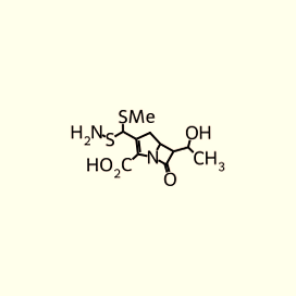 CSC(SN)C1=C(C(=O)O)N2C(=O)C(C(C)O)C2C1